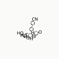 C[C@]12C[C@H](c3ccc(-c4ccc(C#N)cc4)cc3)[C@H]3[C@@H](CCC4=CC(=O)CC[C@@H]43)[C@@H]1CC[C@@]2(O)/C=C\CO